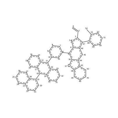 C=Cc1sc2c(-c3cccc(-c4c5ccccc5c(-c5cccc6ccccc56)c5ccccc45)c3)c3oc4ccccc4c3cc2c1-c1ccccc1C